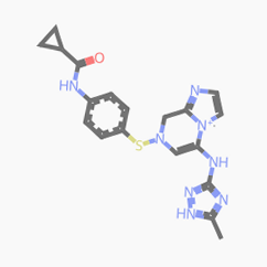 Cc1nc(NC2=CN(Sc3ccc(NC(=O)C4CC4)cc3)CC3=NC=C[N+]23)n[nH]1